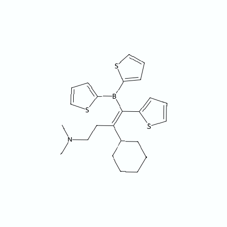 CN(C)CC/C(=C(\B(c1cccs1)c1cccs1)c1cccs1)C1CCCCC1